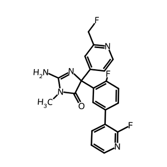 CN1C(=O)C(c2ccnc(CF)c2)(c2cc(-c3cccnc3F)ccc2F)N=C1N